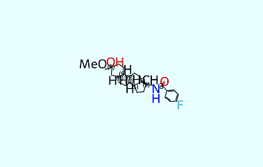 COC[C@@]1(O)CC[C@H]2[C@H](CC[C@@H]3[C@@H]2CC[C@]2(C)[C@@H](CNC(=O)c4ccc(F)cc4)CC[C@@H]32)C1